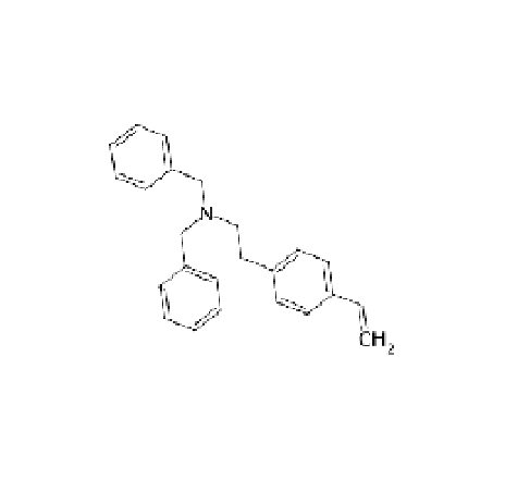 C=Cc1ccc(CCN(Cc2ccccc2)Cc2ccccc2)cc1